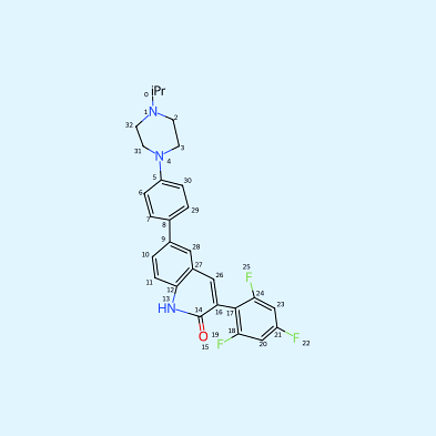 CC(C)N1CCN(c2ccc(-c3ccc4[nH]c(=O)c(-c5c(F)cc(F)cc5F)cc4c3)cc2)CC1